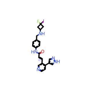 O=C(/C=C/c1cnccc1-c1cn[nH]c1)Nc1ccc(CNC2CC(F)(I)C2)cc1